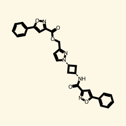 O=C(N[C@H]1C[C@@H](n2ccc(COC(=O)c3cc(-c4ccccc4)on3)n2)C1)c1cc(-c2ccccc2)on1